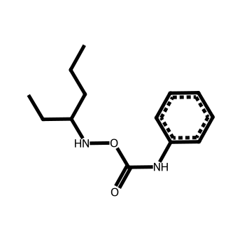 CCCC(CC)NOC(=O)Nc1ccccc1